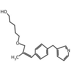 CC(=Cc1ccc(Cc2cccnc2)cc1)COCCCCCO